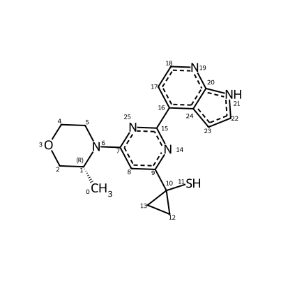 C[C@@H]1COCCN1c1cc(C2(S)CC2)nc(-c2ccnc3[nH]ccc23)n1